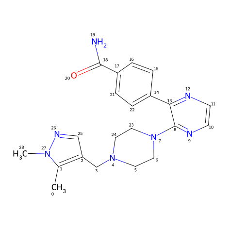 Cc1c(CN2CCN(c3nccnc3-c3ccc(C(N)=O)cc3)CC2)cnn1C